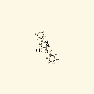 Clc1cc(-c2ccccc2)nnc1OCc1ccccc1